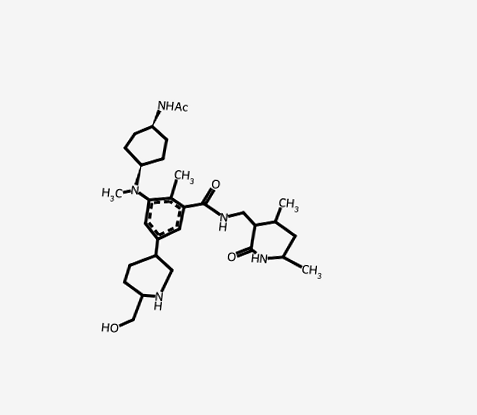 CC(=O)N[C@H]1CC[C@@H](N(C)c2cc(C3CCC(CO)NC3)cc(C(=O)NCC3C(=O)NC(C)CC3C)c2C)CC1